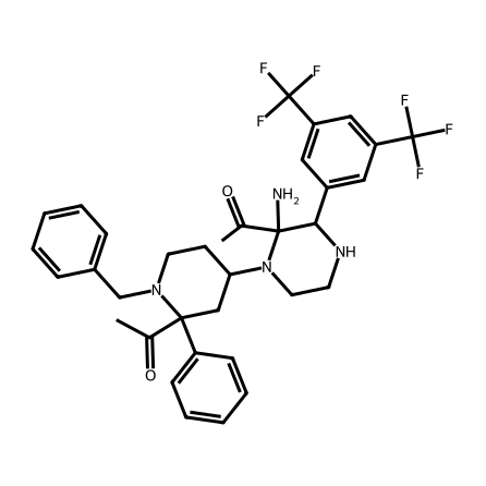 CC(=O)C1(c2ccccc2)CC(N2CCNC(c3cc(C(F)(F)F)cc(C(F)(F)F)c3)C2(N)C(C)=O)CCN1Cc1ccccc1